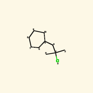 CC(C)(Cl)CC1CCCCC1